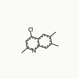 Cc1cc(Cl)c2cc(C)c(C)cc2n1